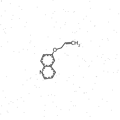 C=CCOc1ccc2ncccc2c1